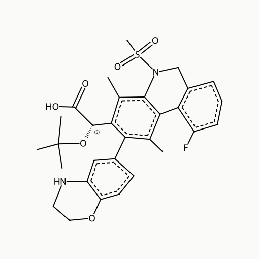 Cc1c(-c2ccc3c(c2)NCCO3)c([C@H](OC(C)(C)C)C(=O)O)c(C)c2c1-c1c(F)cccc1CN2S(C)(=O)=O